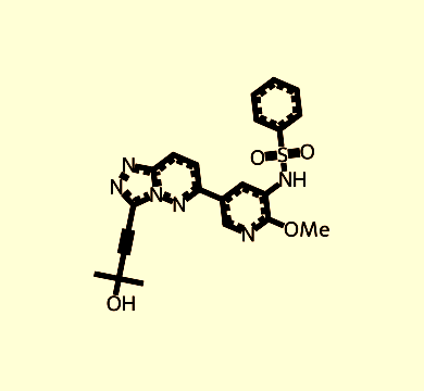 COc1ncc(-c2ccc3nnc(C#CC(C)(C)O)n3n2)cc1NS(=O)(=O)c1ccccc1